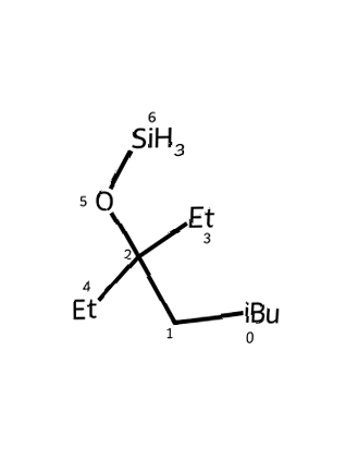 CCC(C)CC(CC)(CC)O[SiH3]